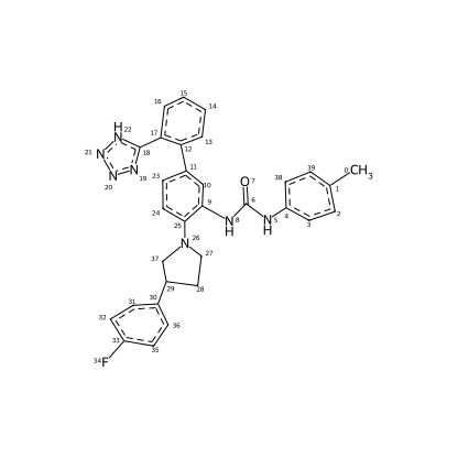 Cc1ccc(NC(=O)Nc2cc(-c3ccccc3-c3nnn[nH]3)ccc2N2CCC(c3ccc(F)cc3)C2)cc1